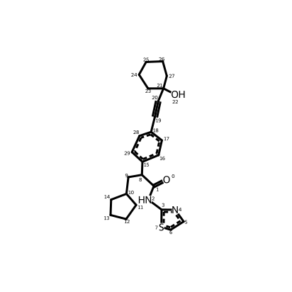 O=C(Nc1nccs1)C(CC1CCCC1)c1ccc(C#CC2(O)CCCCC2)cc1